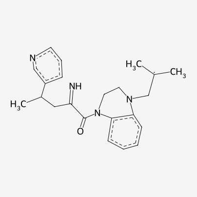 C[C](C)CN1CCN(C(=O)C(=N)CC(C)c2cccnc2)c2ccccc21